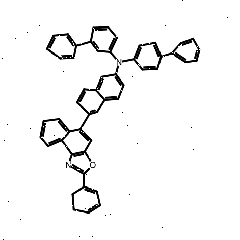 C1=CCCC(c2nc3c(cc(-c4ccc5cc(N(c6ccc(-c7ccccc7)cc6)c6cccc(-c7ccccc7)c6)ccc5c4)c4ccccc43)o2)=C1